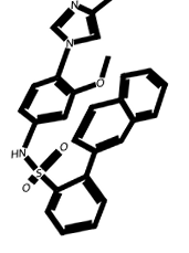 COc1cc(NS(=O)(=O)c2ccccc2-c2ccc3ccccc3c2)ccc1-n1cnc(C)c1